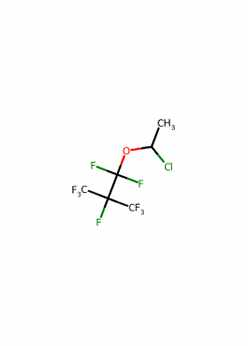 CC(Cl)OC(F)(F)C(F)(C(F)(F)F)C(F)(F)F